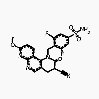 COc1ccc2c3c(cnc2n1)CC(C#N)C(=O)N3Cc1c(F)cc(S(N)(=O)=O)cc1F